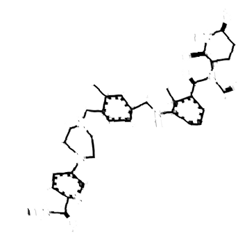 Cc1cc(CNc2cccc(C(=O)N(C=O)C3CCC(=O)NC3=O)c2C)ccc1CN1CCN(c2ccc(C(N)=O)nc2)CC1